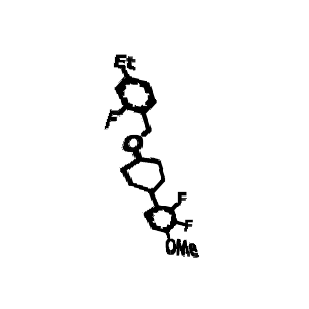 CCc1ccc(COC2CCC(c3ccc(OC)c(F)c3F)CC2)c(F)c1